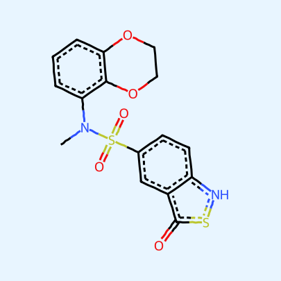 CN(c1cccc2c1OCCO2)S(=O)(=O)c1ccc2[nH]sc(=O)c2c1